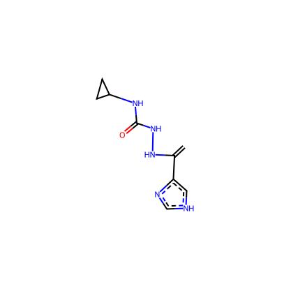 C=C(NNC(=O)NC1CC1)c1c[nH]cn1